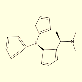 C[C@H](C1=CC=CC1[P@](C1=CC=CC1)c1ccccc1)N(C)C